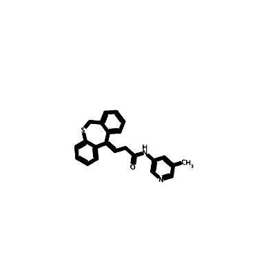 Cc1cncc(NC(=O)C/C=C2\c3ccccc3CSc3ccccc32)c1